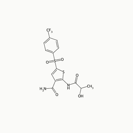 CC(O)C(=O)Nc1sc(S(=O)(=O)c2ccc(C(F)(F)F)cc2)cc1C(N)=O